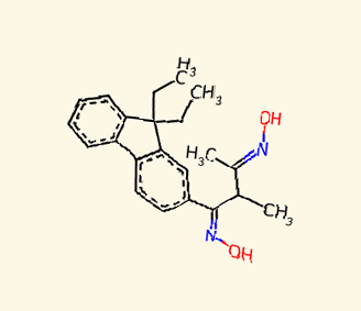 CCC1(CC)c2ccccc2-c2ccc(/C(=N/O)C(C)/C(C)=N/O)cc21